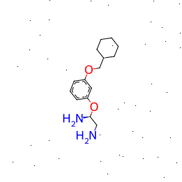 NC[C@@H](N)Oc1cccc(OCC2CCCCC2)c1